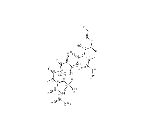 C/C=C/C[C@@H](C)[C@@H](O)[C@@H](C(=O)N[C@@H](CC)C(=O)N(C)C(C(=O)O)C(=O)N(C)[C@@H](CC(C)(C)O)C(=O)NC(=O)NC)N(C)C(=O)CC(C)C